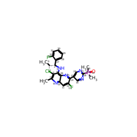 CC[C@@H](Nc1c(Cl)c(C)nc2cc(F)c(-c3cnc(P(C)(C)=O)nc3)nc12)c1ccccc1F